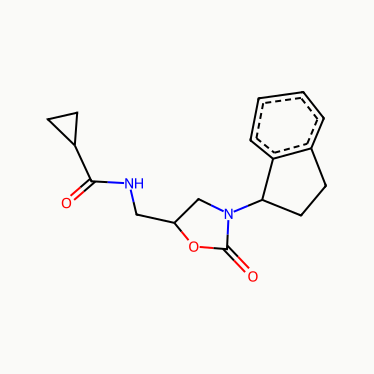 O=C(NCC1CN(C2CCc3ccccc32)C(=O)O1)C1CC1